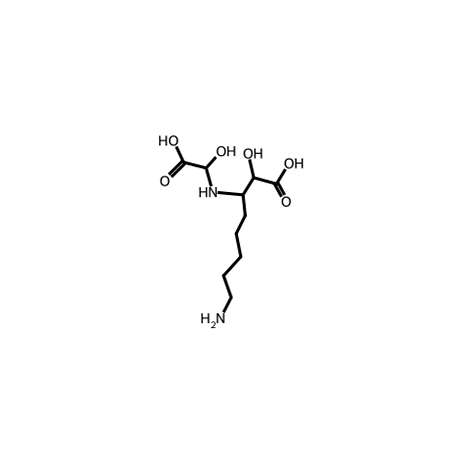 NCCCCCC(NC(O)C(=O)O)C(O)C(=O)O